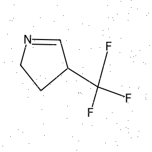 FC(F)(F)C1C=NCC1